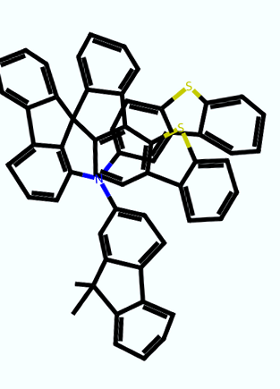 CC1(C)c2ccccc2-c2ccc(N(c3ccc4sc5ccccc5c4c3)c3cccc4c3C3(c5ccccc5-4)c4ccccc4-c4c3ccc3c4sc4ccccc43)cc21